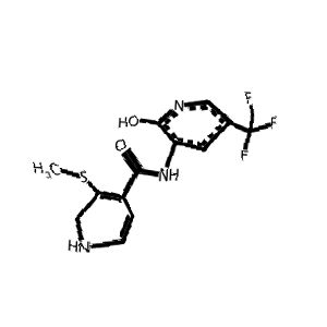 CSC1=C(C(=O)Nc2cc(C(F)(F)F)cnc2O)C=CNC1